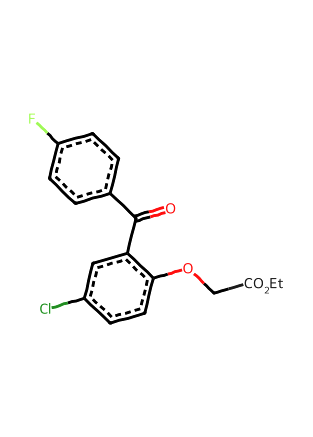 CCOC(=O)COc1ccc(Cl)cc1C(=O)c1ccc(F)cc1